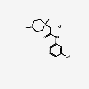 CN1CC[N+](C)(CC(=O)Nc2cccc(O)c2)CC1.[Cl-]